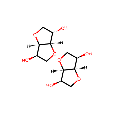 O[C@@H]1CO[C@H]2[C@@H]1OC[C@@H]2O.O[C@@H]1CO[C@H]2[C@@H]1OC[C@H]2O